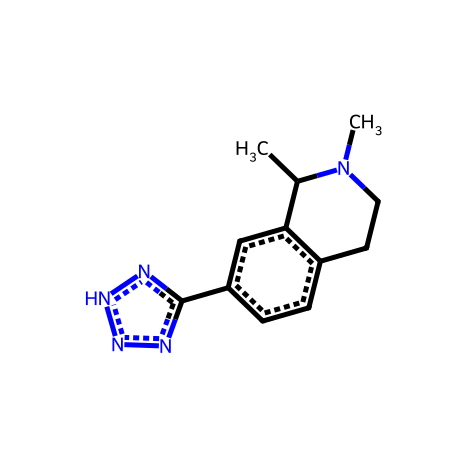 CC1c2cc(-c3nn[nH]n3)ccc2CCN1C